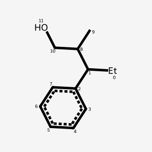 CCC(c1ccccc1)C(C)CO